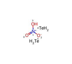 O=[N+]([O-])O.[TeH2].[TeH2]